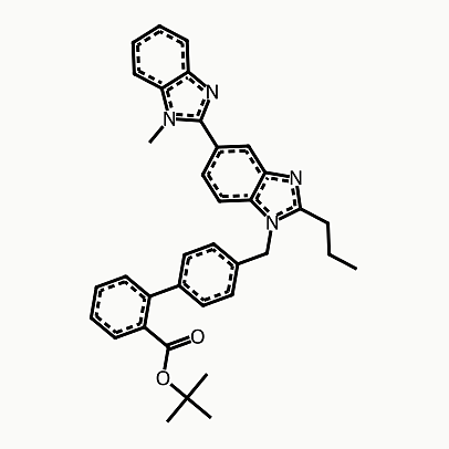 CCCc1nc2cc(-c3nc4ccccc4n3C)ccc2n1Cc1ccc(-c2ccccc2C(=O)OC(C)(C)C)cc1